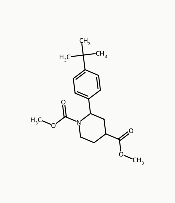 COC(=O)C1CCN(C(=O)OC)C(c2ccc(C(C)(C)C)cc2)C1